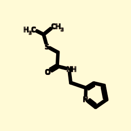 CC(C)SCC(=O)NCc1ccccn1